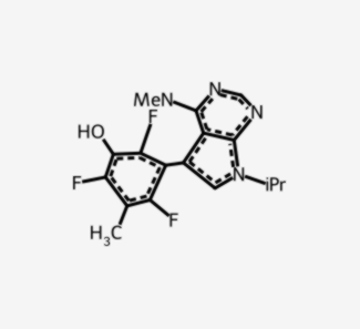 CNc1ncnc2c1c(-c1c(F)c(C)c(F)c(O)c1F)cn2C(C)C